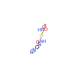 CN1CCN(c2ccc(N(C)C(=O)NCCSSCCNC(=O)OC(C)(C)C)cc2)CC1